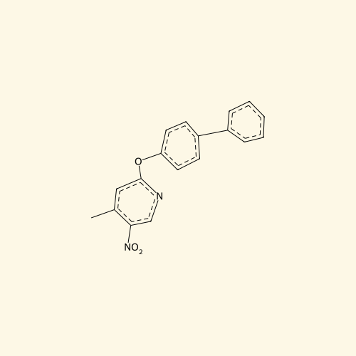 Cc1cc(Oc2ccc(-c3ccccc3)cc2)ncc1[N+](=O)[O-]